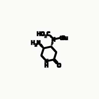 CC(C)(C)N(C(=O)O)[C@@H]1CC(=O)NC[C@H]1N